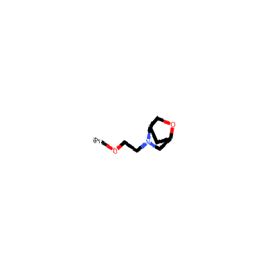 CC(C)OCCN1CC2CC1CO2